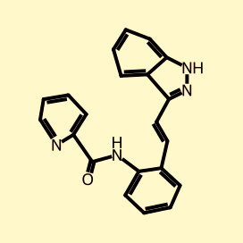 O=C(Nc1ccccc1/C=C/c1n[nH]c2ccccc12)c1ccccn1